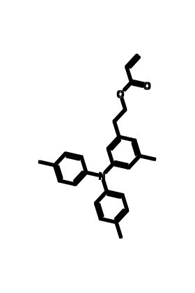 C=CC(=O)OCCc1cc(C)cc(N(c2ccc(C)cc2)c2ccc(C)cc2)c1